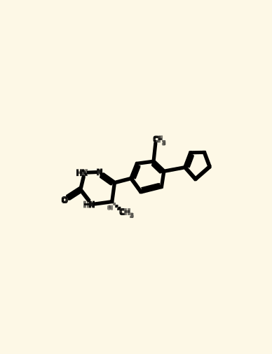 C[C@@H]1NC(=O)NN=C1c1ccc(C2=CCCC2)c(C(F)(F)F)c1